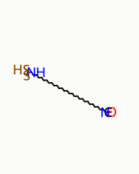 O=C=NCCCCCCCCCCCCCCCCCCCCCCCCCCCCNC(=S)S